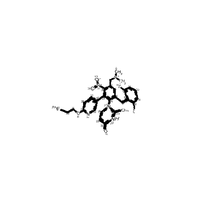 CN(C)Cc1[c]c(Cc2c(F)cccc2F)c(-n2ccc(=O)[nH]c2=O)c(-c2ccc(OCCF)nc2)c1[N+](=O)[O-]